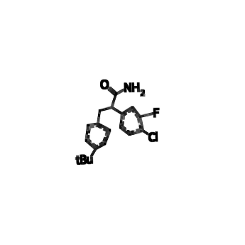 CC(C)(C)c1ccc(CC(C(N)=O)c2ccc(Cl)c(F)c2)cc1